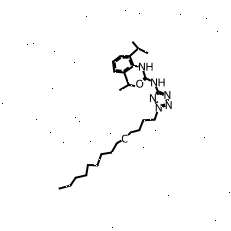 CCCCCCCCCCCCCCn1nnc(NC(=O)Nc2c(C(C)C)cccc2C(C)C)n1